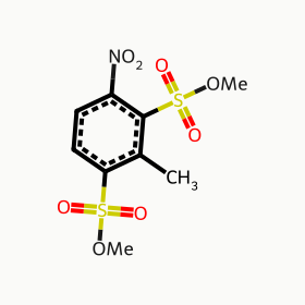 COS(=O)(=O)c1ccc([N+](=O)[O-])c(S(=O)(=O)OC)c1C